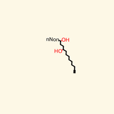 C#CCCCCCCCC(O)CCC(O)CCCCCCCCC